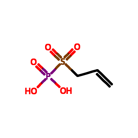 C=CCS(=O)(=O)P(=O)(O)O